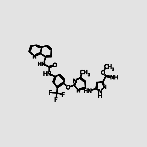 COC(=N)c1cc(Nc2cc(C)nc(Oc3ccc(NC(=O)Nc4cccc5cccnc45)cc3C(F)(F)F)n2)[nH]n1